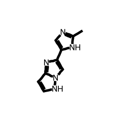 Cc1ncc(-c2cn3[nH]ccc3n2)[nH]1